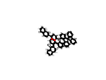 c1ccc(C2(c3ccccc3)c3ccccc3-c3c(N(c4ccc(-c5ccc6ccccc6c5)cc4)c4ccccc4-c4cccc5oc6c7ccccc7ccc6c45)cccc32)cc1